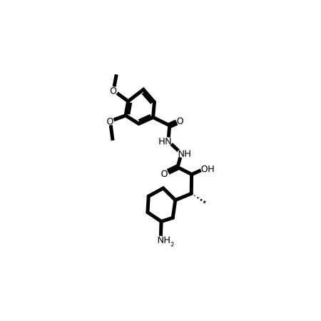 COc1ccc(C(=O)NNC(=O)C(O)[C@H](C)C2CCCC(N)C2)cc1OC